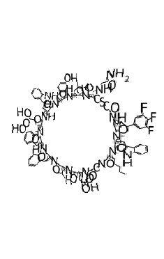 CCCCC[C@H]1C(=O)N(C)CC(=O)N[C@@H](CC(=O)O)C(=O)N[C@@H](C(C)C)C(=O)N(C)[C@@H](Cc2ccccc2)C(=O)N[C@@H](Cc2ccc(O)cc2)C(=O)N(C)[C@H](CCC(=O)O)C(=O)N[C@@H](Cc2c[nH]c3ccccc23)C(=O)N[C@@H](Cc2ccc(O)cc2)C(=O)N[C@@H](CC(C)C)C(=O)N[C@H](C(=O)NCC(N)=O)CSCC(=O)N[C@@H](CCc2cc(F)c(F)c(F)c2)C(=O)N(C)[C@@H](Cc2c[nH]c3ccccc23)C(=O)N1C